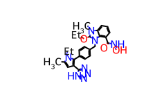 CCOC1N(C)c2cccc(C(=O)NO)c2N1Cc1ccc(-c2c(-c3nnn[nH]3)cc(C)n2CC)cc1